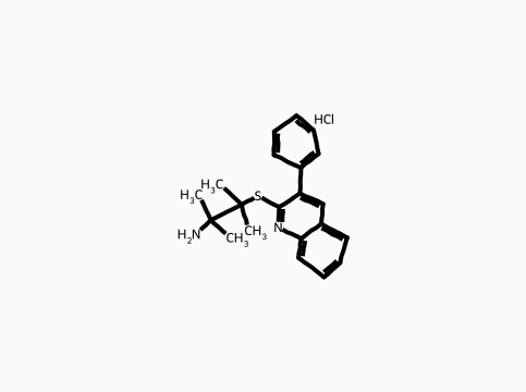 CC(C)(N)C(C)(C)Sc1nc2ccccc2cc1-c1ccccc1.Cl